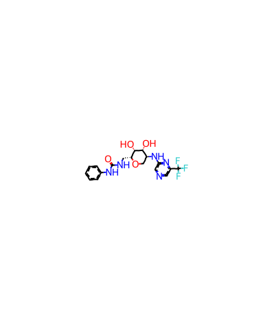 O=C(NC[C@H]1OC[C@H](Nc2cncc(C(F)(F)F)n2)[C@@H](O)[C@H]1O)Nc1ccccc1